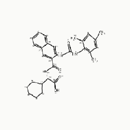 Cc1cc(C)c(NC(=O)Nc2nc3ccccc3cc2C(=O)N[C@H](C(=O)O)C2CCCCC2)c(C)c1